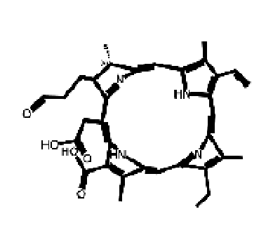 C=Cc1c(C)c2cc3nc(c(CC(=O)O)c4[nH]c(cc5nc(cc1[nH]2)C(C)=C5CC)c(C)c4C(=O)O)C(CCC=O)[C@@H]3C